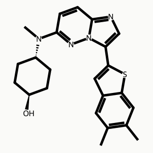 Cc1cc2cc(-c3cnc4ccc(N(C)[C@H]5CC[C@H](O)CC5)nn34)sc2cc1C